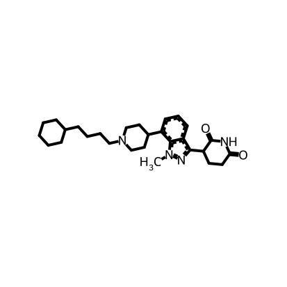 Cn1nc(C2CCC(=O)NC2=O)c2cccc(C3CCN(CCCCC4CCCCC4)CC3)c21